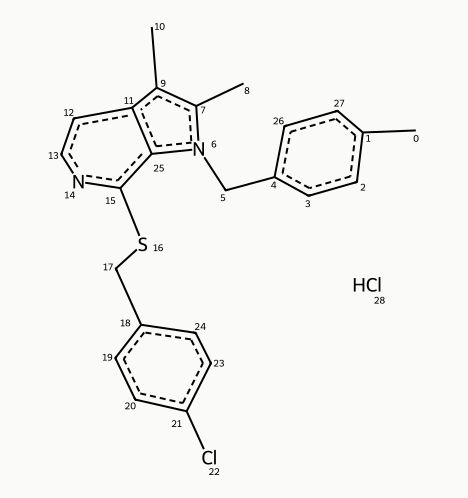 Cc1ccc(Cn2c(C)c(C)c3ccnc(SCc4ccc(Cl)cc4)c32)cc1.Cl